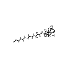 CCCCCCCCCCCCCCCCC(C)(OC(C)=O)C(=O)O